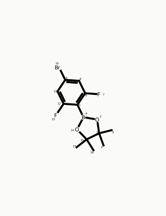 CC1(C)OB(c2c(F)cc(Br)cc2F)OC1(C)C